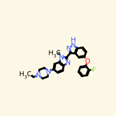 CCN1CCN(c2ccc3nc(-c4n[nH]c5ccc(Oc6ccccc6F)cc45)n(C)c3c2)CC1